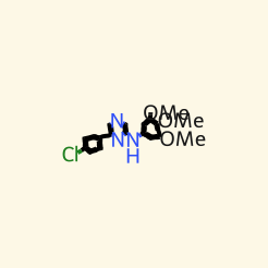 COc1cc(Nc2cncc(-c3ccc(Cl)cc3)n2)cc(OC)c1OC